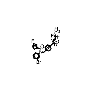 CC(F)(F)c1nc(C23CCC(CN(C(=O)C45CC(F)C(C4)C5)c4cccc(Br)c4)(CC2)CC3)no1